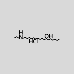 CCCCCCC(O)CCCCCCCCCCCNCCC.Cl